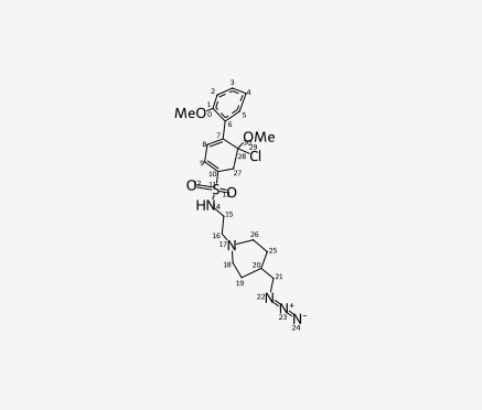 COc1ccccc1C1=CC=C(S(=O)(=O)NCCN2CCC(CN=[N+]=[N-])CC2)CC1(Cl)OC